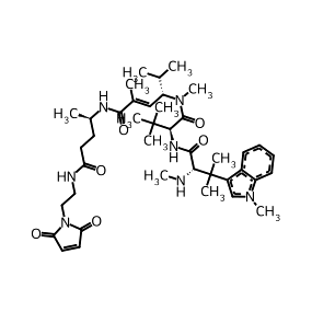 CN[C@H](C(=O)N[C@H](C(=O)N(C)[C@H](/C=C(\C)C(=O)N[C@H](C)CCC(=O)NCCN1C(=O)C=CC1=O)C(C)C)C(C)(C)C)C(C)(C)c1cn(C)c2ccccc12